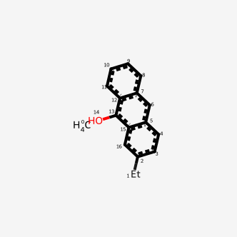 C.CCc1ccc2cc3ccccc3c(O)c2c1